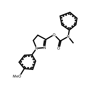 COc1ccc(N2CCC(OC(=O)N(C)c3ccccc3)=N2)cc1